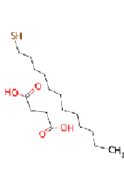 CCCCCCCCCCCCS.O=C(O)CCC(=O)O